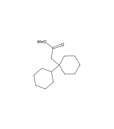 COC(=O)CC1(C2CCCCC2)CCCCC1